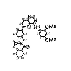 COc1ccc(CNc2ncnc3ccc(-c4cccc(CN(C(=O)C5CCCCC5)C5CC5)c4)cc23)c(OC)c1